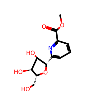 COC(=O)c1cccc([C@@H]2O[C@H](CO)[C@@H](O)[C@H]2O)n1